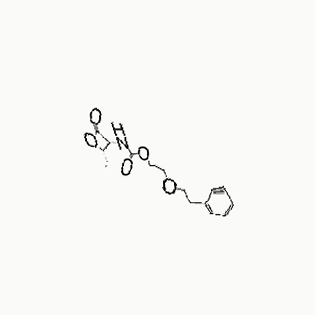 C[C@@H]1OC(=O)[C@@H]1NC(=O)OCCOCCc1ccccc1